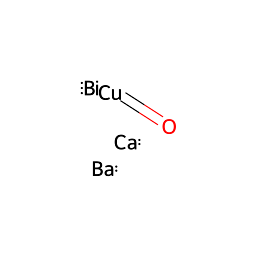 [Ba].[Bi].[Ca].[O]=[Cu]